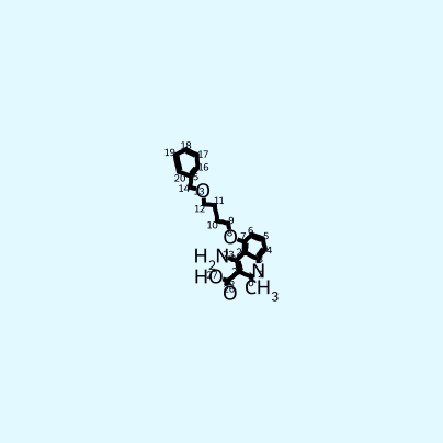 Cc1nc2cccc(OCCCCOCc3ccccc3)c2c(N)c1C(=O)O